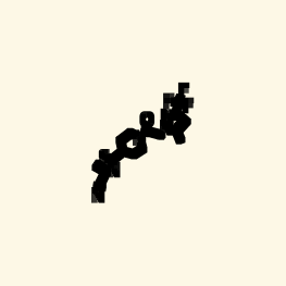 Cc1cc(C(F)(F)F)nn1CC(=O)N1CCC(c2nc(C#N)cs2)CC1